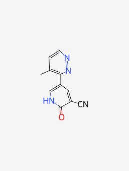 Cc1ccnnc1-c1c[nH]c(=O)c(C#N)c1